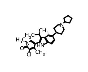 Cc1c(-c2[nH]c3ccc(C4CCN(C5CCCC5)CC4)cc3c2C(C)C)cn(C)c(=O)c1Cl